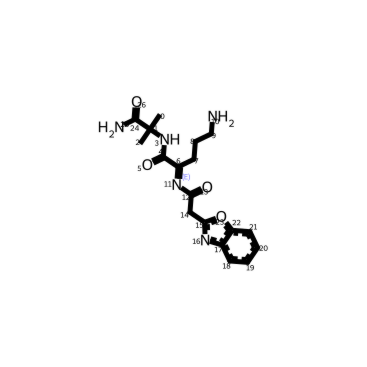 CC(C)(NC(=O)/C(CCCN)=N/C(=O)Cc1nc2ccccc2o1)C(N)=O